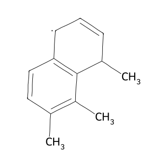 Cc1ccc2c(c1C)C(C)C=C[CH]2